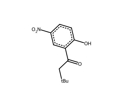 CC(C)(C)CC(=O)c1cc([N+](=O)[O-])ccc1O